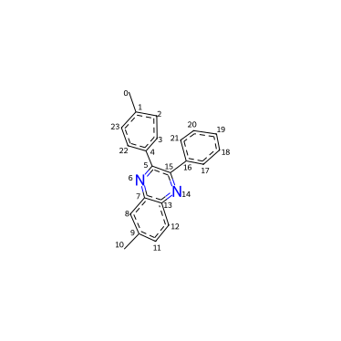 Cc1ccc(-c2nc3cc(C)ccc3nc2-c2ccccc2)cc1